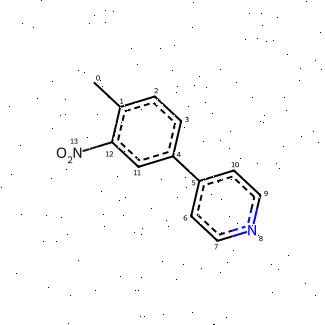 Cc1ccc(-c2ccncc2)cc1[N+](=O)[O-]